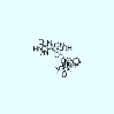 Cc1nc2c(ncn2[C@]2(C)O[C@H](COP(=S)(NC(C)C(=O)OC(C)C)Oc3ccccc3)C(O)C2O)c(=O)[nH]1